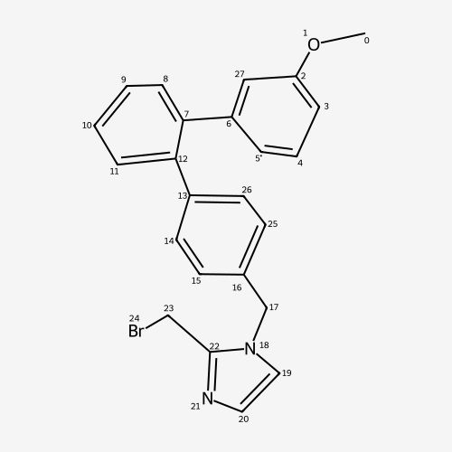 COc1cc[c]c(-c2ccccc2-c2ccc(Cn3ccnc3CBr)cc2)c1